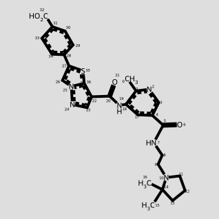 Cc1ncc(C(=O)NCCN2CCCC2(C)C)cc1NC(=O)c1cnn2cc(-c3ccc(C(=O)O)cc3)sc12